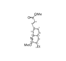 CCc1cc2ccc(/C=C/C(=O)OC)cc2nc1OC